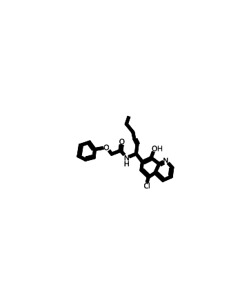 CCCC=CC(NC(=O)COc1ccccc1)c1cc(Cl)c2cccnc2c1O